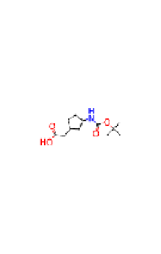 CC(C)(C)OC(=O)NC1CCC(CC(=O)O)C1